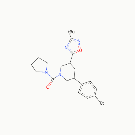 CCc1ccc(C2CC(c3nc(C(C)(C)C)no3)CN(C(=O)N3CCCC3)C2)cc1